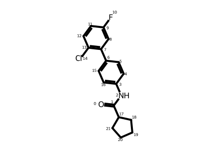 O=C(Nc1ccc(-c2cc(F)ccc2Cl)cc1)C1CCCC1